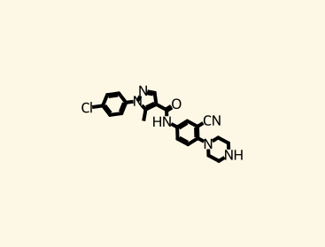 Cc1c(C(=O)Nc2ccc(N3CCNCC3)c(C#N)c2)cnn1-c1ccc(Cl)cc1